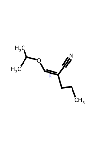 CCC/C(C#N)=C/OC(C)C